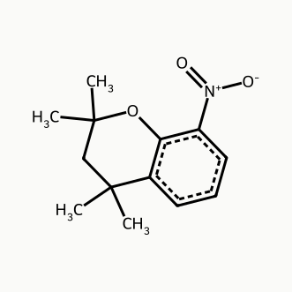 CC1(C)CC(C)(C)c2cccc([N+](=O)[O-])c2O1